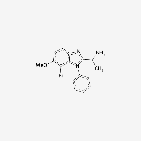 COc1ccc2nc(C(C)N)n(-c3ccccc3)c2c1Br